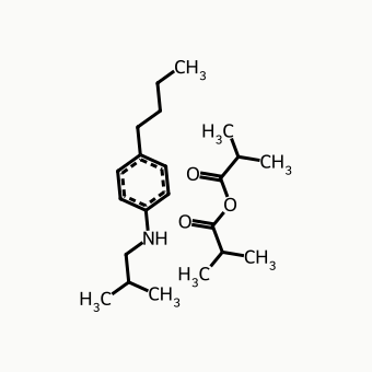 CC(C)C(=O)OC(=O)C(C)C.CCCCc1ccc(NCC(C)C)cc1